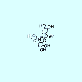 C=CC(=O)N(c1ccc(O)c(O)c1)[C@H](Cc1ccc(O)c(O)c1)C(=O)OCCC